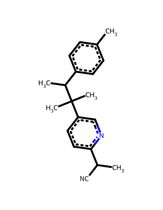 Cc1ccc(C(C)C(C)(C)c2ccc(C(C)C#N)nc2)cc1